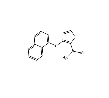 CCCN(C)c1sccc1Oc1cccc2ccccc12